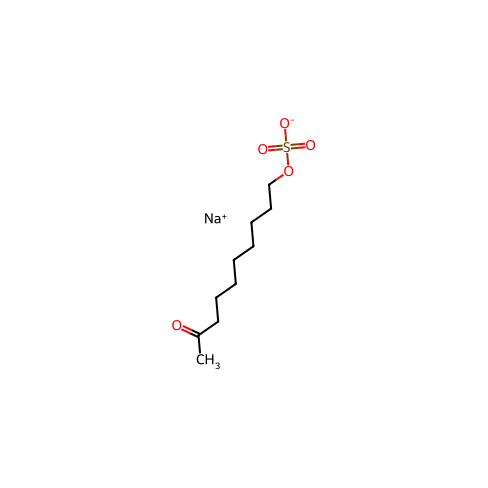 CC(=O)CCCCCCCCOS(=O)(=O)[O-].[Na+]